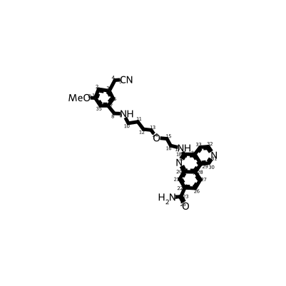 COc1cc(CC#N)cc(CNCCCCOCCNc2nc3cc(C(N)=O)ccc3c3cnccc23)c1